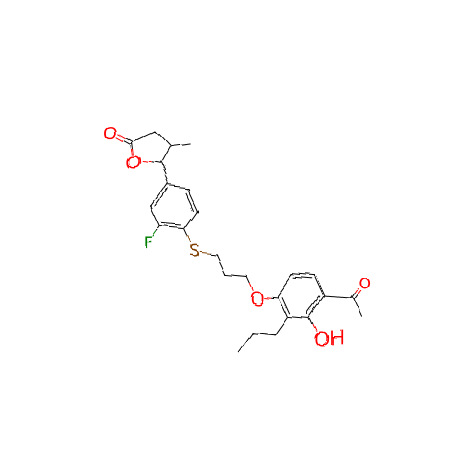 CCCc1c(OCCCSc2ccc(C3OC(=O)CC3C)cc2F)ccc(C(C)=O)c1O